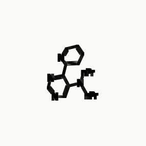 CCCN(CCC)c1cncnc1-c1ccccn1